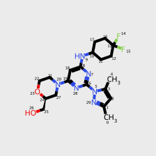 Cc1cc(C)n(-c2nc(NC3CCC(F)(F)CC3)cc(N3CCO[C@H](CO)C3)n2)n1